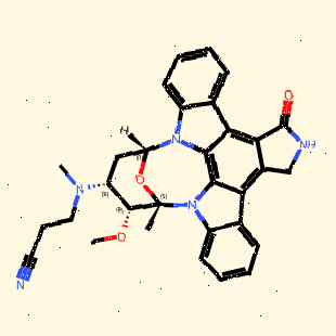 CO[C@@H]1[C@H](N(C)CCC#N)C[C@H]2O[C@]1(C)n1c3ccccc3c3c4c(c5c6ccccc6n2c5c31)C(=O)NC4